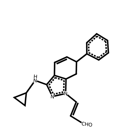 O=CC=Cn1nc(NC2CC2)c2c1CC(c1ccccc1)C=C2